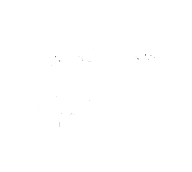 CCO[C@H]1c2cc(NC(=O)Cc3ccc(OC)cc3)c([N+](=O)[O-])cc2OC(C)(C)C1O